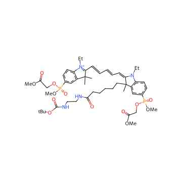 CCN1/C(=C/C=C/C=C/C2=[N+](CC)c3ccc(P(=O)(OC)OCC(=O)OC)cc3C2(C)C)C(C)(CCCCCC(=O)NCCNC(=O)OC(C)(C)C)c2cc(P(=O)(OC)OCC(=O)OC)ccc21